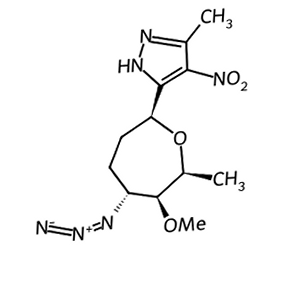 CO[C@@H]1[C@H](C)O[C@H](c2[nH]nc(C)c2[N+](=O)[O-])CC[C@H]1N=[N+]=[N-]